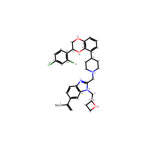 C=C(OC)c1ccc2nc(CN3CCC(c4cccc5c4OC(c4ccc(Cl)cc4F)CO5)CC3)n(C[C@@H]3CCO3)c2c1